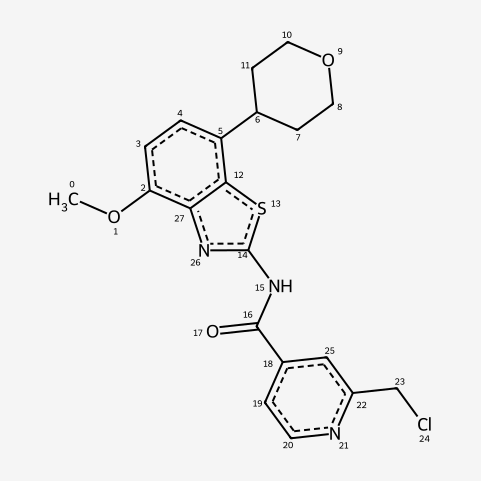 COc1ccc(C2CCOCC2)c2sc(NC(=O)c3ccnc(CCl)c3)nc12